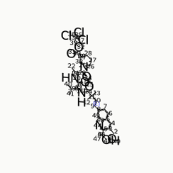 COCc1cc2ccc(/C=C/C(C)(C)C(=O)N[C@H](C(=O)N[C@@H](C)C(=O)N3CCC[C@@H](C(=O)OCC(Cl)(Cl)Cl)C3)C(C)C)cc2nc1[C@@H](C)O